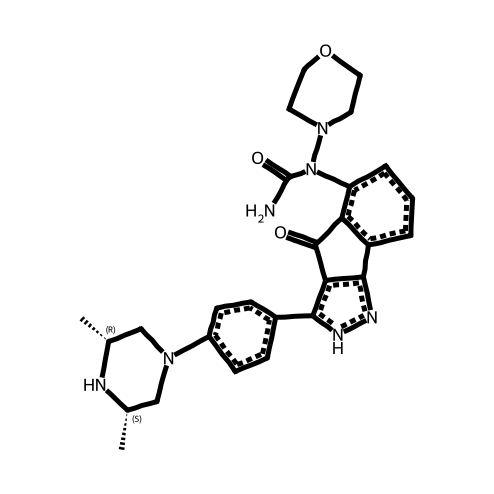 C[C@@H]1CN(c2ccc(-c3[nH]nc4c3C(=O)c3c-4cccc3N(C(N)=O)N3CCOCC3)cc2)C[C@H](C)N1